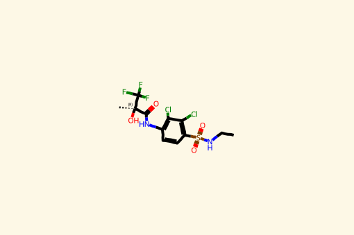 CCNS(=O)(=O)c1ccc(NC(=O)[C@@](C)(O)C(F)(F)F)c(Cl)c1Cl